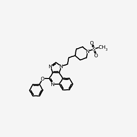 CS(=O)(=O)N1CCC(CCn2cnc3c(Oc4ccccc4)nc4ccccc4c32)CC1